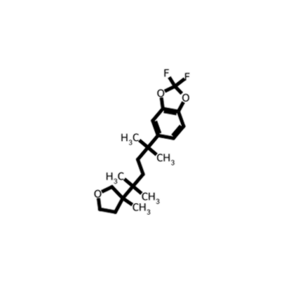 CC(C)(CCC(C)(C)C1(C)CCOC1)c1ccc2c(c1)OC(F)(F)O2